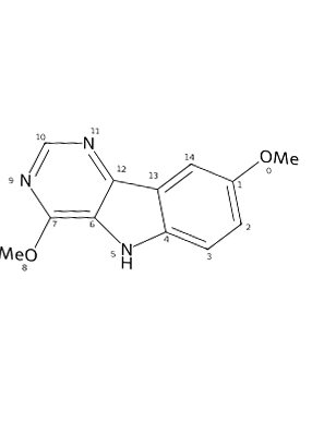 COc1ccc2[nH]c3c(OC)ncnc3c2c1